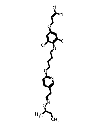 CCC(C)ON=CCc1ccc(OCCCCOc2c(Cl)cc(OCC=C(Cl)Cl)cc2Cl)nc1